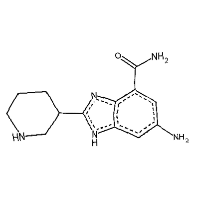 NC(=O)c1cc(N)cc2[nH]c(C3CCCNC3)nc12